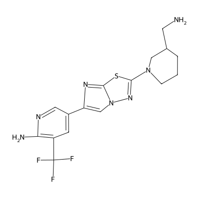 NCC1CCCN(c2nn3cc(-c4cnc(N)c(C(F)(F)F)c4)nc3s2)C1